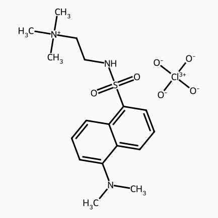 CN(C)c1cccc2c(S(=O)(=O)NCC[N+](C)(C)C)cccc12.[O-][Cl+3]([O-])([O-])[O-]